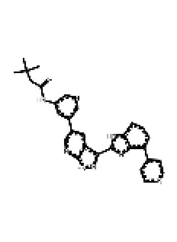 CC(C)(C)CC(=O)Nc1cncc(-c2cnc3[nH]nc(-c4nc5c(-c6ccncc6)cccc5[nH]4)c3c2)c1